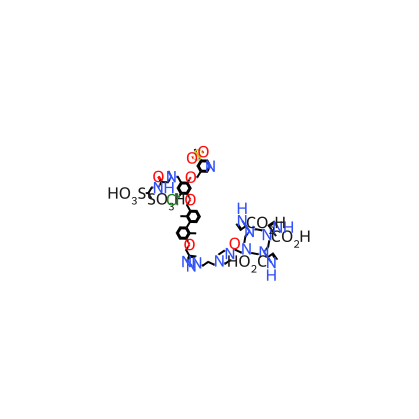 Cc1c(COc2cc(OCc3cncc(S(C)(=O)=O)c3)c(CN(C)CC(=O)NCC(S(=O)(=O)O)S(=O)(=O)O)cc2Cl)cccc1-c1cccc(OCc2cn(CCCN3CCN(C(=O)CN4CCN(C5(C(=O)O)C=CN5)CCN(C5(C(=O)O)C=CN5)CCN(C5(C(=O)O)C=CN5)CC4)CC3)nn2)c1C